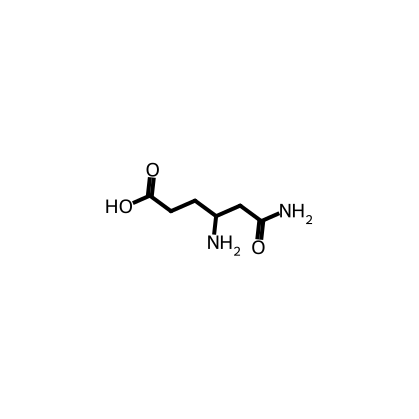 NC(=O)CC(N)CCC(=O)O